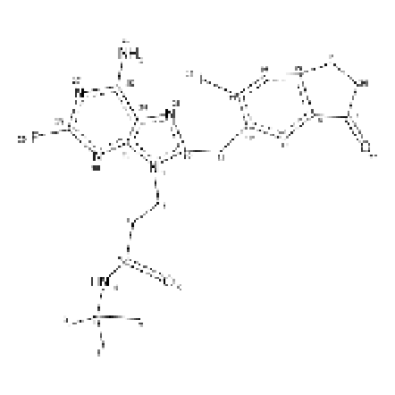 CC(C)(C)NC(=O)CCn1c(Cc2cc3c(cc2I)CCC3=O)nc2c(N)nc(F)nc21